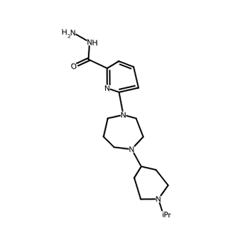 CC(C)N1CCC(N2CCCN(c3cccc(C(=O)NN)n3)CC2)CC1